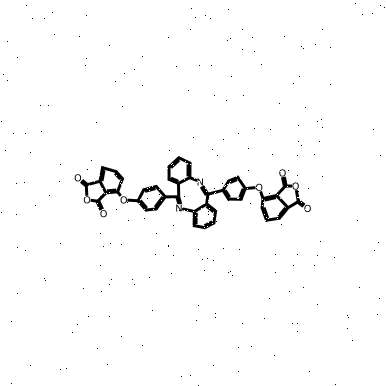 O=C1OC(=O)c2c(Oc3ccc(/C4=N/c5ccccc5/C(c5ccc(Oc6cccc7c6C(=O)OC7=O)cc5)=N\c5ccccc54)cc3)cccc21